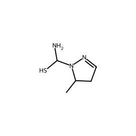 CC1CC=NN1C(N)S